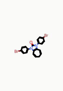 O=c1n(-c2ccc(Br)cc2)c2c(n1-c1ccc(Br)cc1)C=CCC=C2